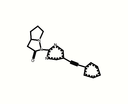 O=C1CC2CCCN2N1c1ncc(C#Cc2ccccc2)cn1